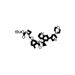 Cc1ccc(OC[C@@H]2CCN2C(=O)OC(C)(C)C)cc1C(=O)NC1(c2cc(-c3cncc(N4CCOCC4)c3)cc3ncccc23)CC1